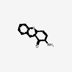 NC1C=Cc2nc3ccccc3cc2C1=O